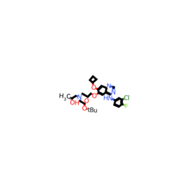 C[C@@H](O)CN(CCCOc1cc2c(Nc3ccc(F)c(Cl)c3)ncnc2cc1OC1CCC1)CC(=O)OC(C)(C)C